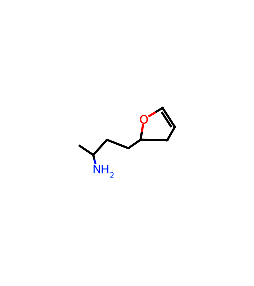 CC(N)CCC1CC=CO1